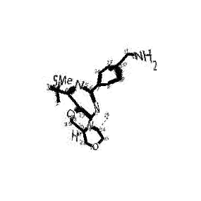 CSC(C)(C)c1nc(-c2ccc(CN)cc2)nc2c1OC[C@@H]1COC[C@@H](C)N21